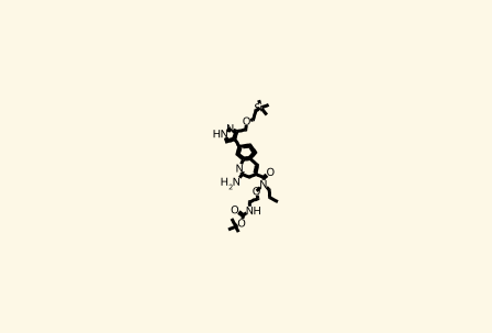 CCCN(OCCNC(=O)OC(C)(C)C)C(=O)C1=Cc2ccc(-c3c[nH]nc3COCC[Si](C)(C)C)cc2N=C(N)C1